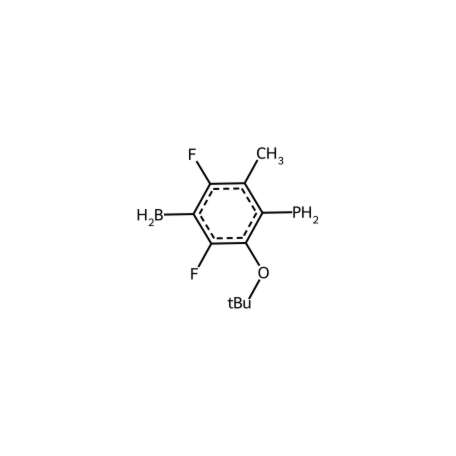 Bc1c(F)c(C)c(P)c(OC(C)(C)C)c1F